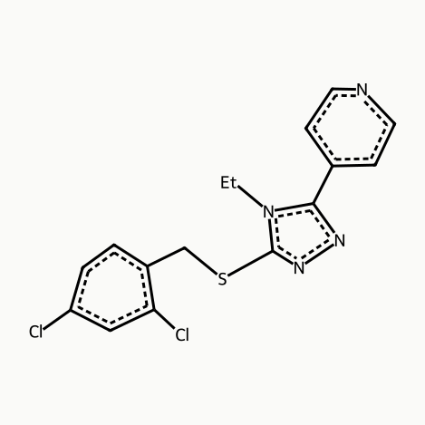 CCn1c(SCc2ccc(Cl)cc2Cl)nnc1-c1ccncc1